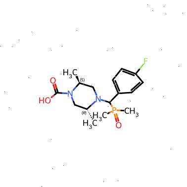 C[C@@H]1CN(C(=O)O)[C@@H](C)CN1C(c1ccc(F)cc1)P(C)(C)=O